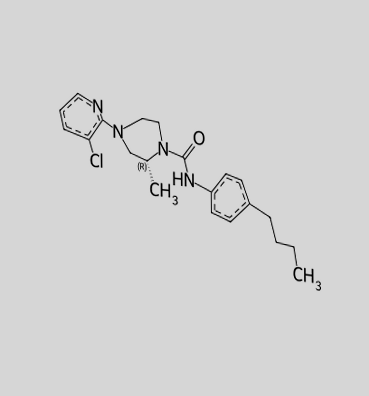 CCCCc1ccc(NC(=O)N2CCN(c3ncccc3Cl)C[C@H]2C)cc1